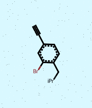 C#Cc1ccc(CC(C)C)c(Br)c1